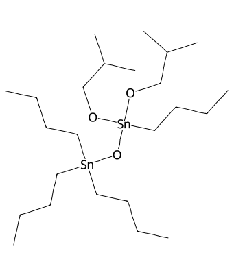 CCC[CH2][Sn]([CH2]CCC)([CH2]CCC)[O][Sn]([CH2]CCC)([O]CC(C)C)[O]CC(C)C